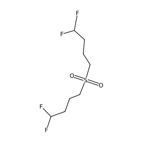 O=S(=O)(CCCC(F)F)CCCC(F)F